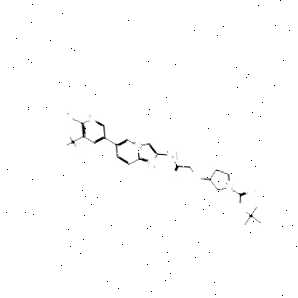 CC(C)(C)OC(=O)N1CCC(OCC(=O)Nc2cn3cc(-c4cnc(N)c(C(F)(F)F)c4)ccc3n2)C1